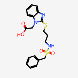 O=C(O)Cn1c(SCCCNS(=O)(=O)Cc2ccccc2)nc2ccccc21